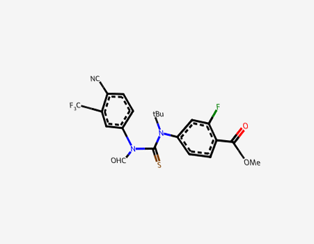 COC(=O)c1ccc(N(C(=S)N(C=O)c2ccc(C#N)c(C(F)(F)F)c2)C(C)(C)C)cc1F